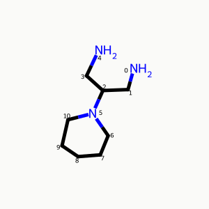 NCC(CN)N1CCCCC1